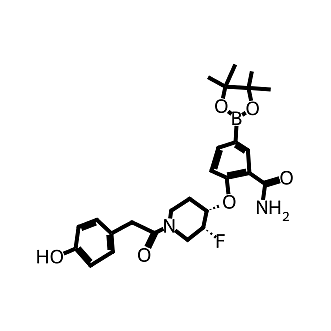 CC1(C)OB(c2ccc(O[C@H]3CCN(C(=O)Cc4ccc(O)cc4)C[C@H]3F)c(C(N)=O)c2)OC1(C)C